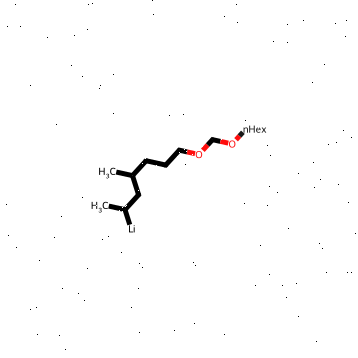 [Li][CH](C)CC(C)CCCOCOCCCCCC